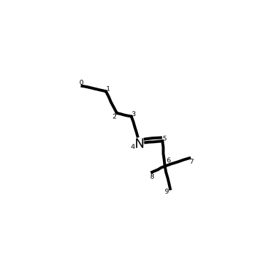 CCCCN=CC(C)(C)C